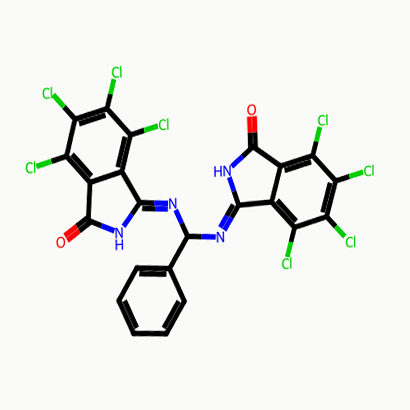 O=C1NC(=NC(N=C2NC(=O)c3c(Cl)c(Cl)c(Cl)c(Cl)c32)c2ccccc2)c2c(Cl)c(Cl)c(Cl)c(Cl)c21